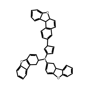 C1=CC(c2ccc3c(c2)C=CC2Oc4ccccc4C32)C=C1N(C1=CC=C2Oc3ccccc3C2C1)C1C=Cc2oc3ccccc3c2C1